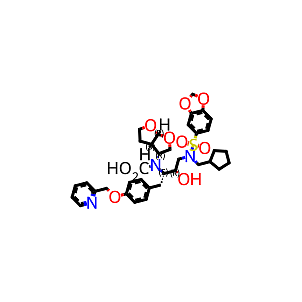 O=C(O)N([C@H]1CO[C@H]2OCC[C@H]21)[C@@H](Cc1ccc(OCc2ccccn2)cc1)[C@H](O)CN(CC1CCCC1)S(=O)(=O)c1ccc2c(c1)OCO2